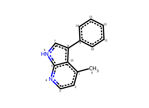 Cc1ccnc2[nH]cc(-c3ccccc3)c12